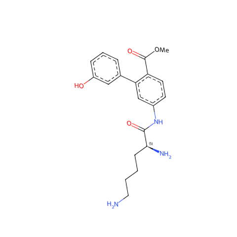 COC(=O)c1ccc(NC(=O)[C@@H](N)CCCCN)cc1-c1cccc(O)c1